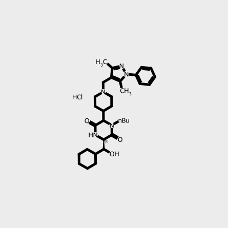 CCCCN1C(=O)[C@@H](C(O)C2CCCCC2)NC(=O)C1C1CCN(Cc2c(C)nn(-c3ccccc3)c2C)CC1.Cl